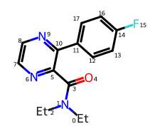 CCN(CC)C(=O)c1nccnc1-c1ccc(F)cc1